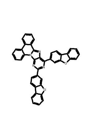 c1ccc2c(c1)oc1cc(-c3nc(-c4ccc5c(c4)oc4ccccc45)c4nc5c6ccccc6c6ccccc6n5c4n3)ccc12